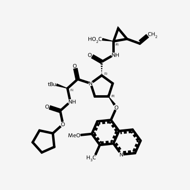 C=CC1C[C@]1(NC(=O)[C@@H]1C[C@@H](Oc2cc(OC)c(C)c3ncccc23)CN1C(=O)[C@@H](NC(=O)OC1CCCC1)C(C)(C)C)C(=O)O